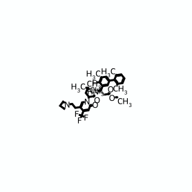 CCOC(=O)C[C@H](NC(=O)C(CC(C)(C)C)n1cc(CCN2CCC2)c(C(F)(F)F)cc1=O)c1cc(-c2c(C)cccc2C)cc(C)c1F